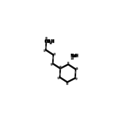 O=C(O)CCCC1CCCCC1.[NaH]